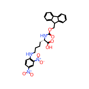 O=C(N[C@@H](CCCCNc1ccc([N+](=O)[O-])cc1[N+](=O)[O-])C(=O)O)OCC1c2ccccc2-c2ccccc21